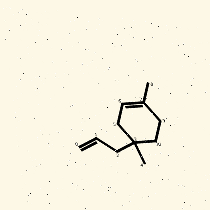 C=C[CH]C1(C)CC=C(C)CC1